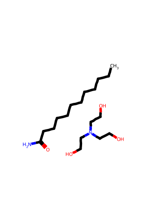 CCCCCCCCCCCC(N)=O.OCCN(CCO)CCO